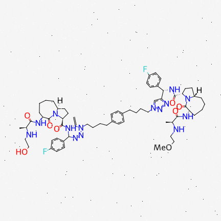 C=CN(CCCCc1ccc(CCCCn2cc([C@@H](NC(=O)[C@@H]3CC[C@@H]4CCCC[C@H](NC(=O)[C@H](C)NCCOC)C(=O)N43)c3ccc(F)cc3)nn2)cc1)/N=N\C(NC(=O)[C@@H]1CC[C@@H]2CCCC[C@H](NC(=O)[C@H](C)NCCO)C(=O)N21)c1ccc(F)cc1